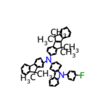 CC1(C)C2=C(c3ccccc31)C(C)(C)c1cc(N(c3ccc4c(c3)C(C)(C)c3ccccc3-4)c3ccc4c(c3)c3ccccc3n4-c3ccc(F)cc3)ccc12